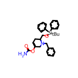 CC(C)(C)[Si](OCC1CC=C(OC(N)=O)CN1Cc1ccccc1)(c1ccccc1)c1ccccc1